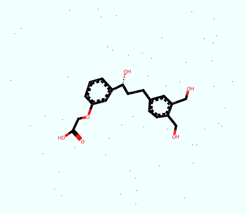 O=C(O)COc1cccc([C@H](O)CCc2ccc(CO)c(CO)c2)c1